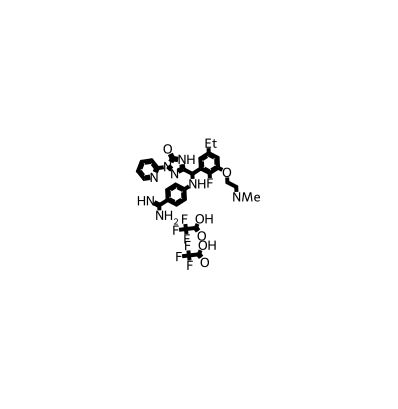 CCc1cc(OCCNC)c(F)c(C(Nc2ccc(C(=N)N)cc2)c2nn(-c3ccccn3)c(=O)[nH]2)c1.O=C(O)C(F)(F)F.O=C(O)C(F)(F)F